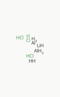 Cl.Cl.Cl.[AlH3].[AlH3].[HH].[LiH]